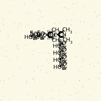 Cc1cc(C)nc(C)c1.Cc1cc(C)nc(C)c1.O=P(O)(F)Br.O=P(O)(F)Br.O=P(O)(F)Br.O=P(O)(F)Br.O=P(O)(F)Br.O=P(O)(F)Br